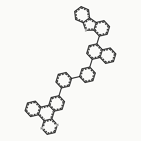 c1cc(-c2cccc(-c3ccc(-c4cccc5c4sc4ccccc45)c4ccccc34)c2)cc(-c2ccc3c(c2)c2ccccc2c2nccnc32)c1